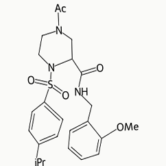 COc1ccccc1CNC(=O)C1CN(C(C)=O)CCN1S(=O)(=O)c1ccc(C(C)C)cc1